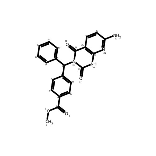 COC(=O)c1ccc(C(c2ccccc2)n2c(=O)[nH]c3nc(N)ccc3c2=O)cc1